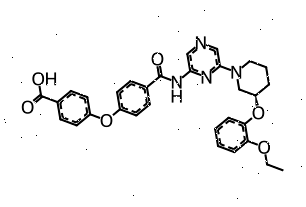 CCOc1ccccc1O[C@@H]1CCCN(c2cncc(NC(=O)c3ccc(Oc4ccc(C(=O)O)cc4)cc3)n2)C1